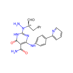 CC(C)C[C@H](C=O)N(N)c1nc(Nc2ccc(-c3ccccn3)cc2)c(C(N)=O)c(=O)[nH]1